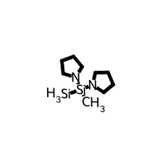 C[Si]([SiH3])(N1CCCC1)N1CCCC1